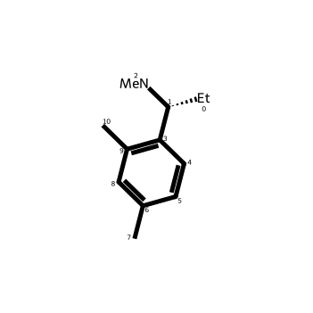 CC[C@@H](NC)c1ccc(C)cc1C